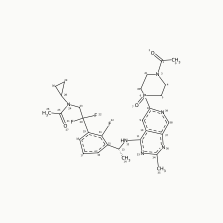 CC(=O)N1CCP(=O)(c2cc3c(N[C@H](C)c4cccc(C(F)(F)CN(C(C)=O)C5CC5)c4F)nc(C)nc3cn2)CC1